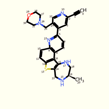 C#Cc1cc(-c2ccc3c(ccc4sc5c(c43)NC[C@@H](C)NC5)n2)c(CN2CCOCC2)cn1